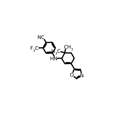 CC1(C)CCC(c2cnco2)=CC1Nc1ccc(C#N)c(C(F)(F)F)c1